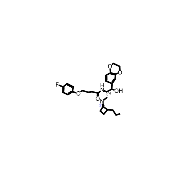 CCCC1CC/C1=N/C[C@H](NC(=O)CCCOc1ccc(F)cc1)C(O)c1ccc2c(c1)OCCO2